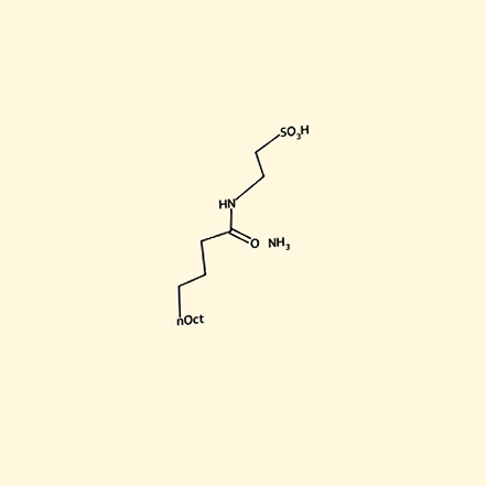 CCCCCCCCCCCC(=O)NCCS(=O)(=O)O.N